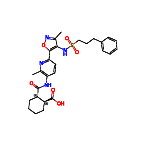 Cc1nc(-c2onc(C)c2NS(=O)(=O)CCCc2ccccc2)ccc1NC(=O)[C@H]1CCCC[C@@H]1C(=O)O